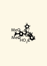 COc1cc([C@@H](O)[C@H](Cn2cc3nccc(C(=O)O)c3n2)OC2CCCC2)cc(OC)c1C1CC1